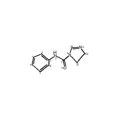 O=C(Nc1ccccc1)N1C=NCC1